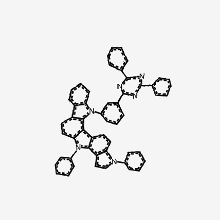 c1ccc(-c2nc(-c3ccccc3)nc(-c3cccc(-n4c5ccccc5c5ccc6c(c7ccc8c(ccn8-c8ccccc8)c7n6-c6ccccc6)c54)c3)n2)cc1